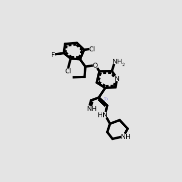 CCC(Oc1cc(/C(C=N)=C/NC2CCNCC2)cnc1N)c1c(Cl)ccc(F)c1Cl